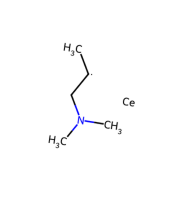 C[CH]CN(C)C.[Ce]